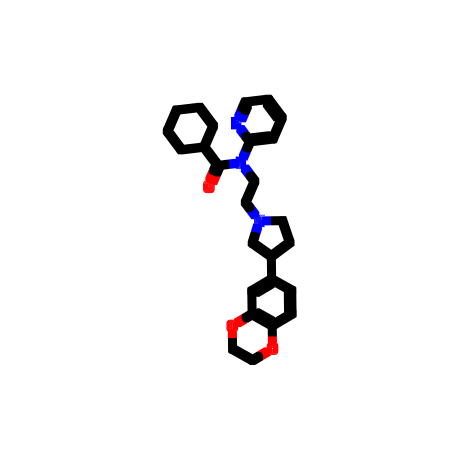 O=C(C1CCCCC1)N(CCN1CCC(c2ccc3c(c2)OCCO3)C1)c1ccccn1